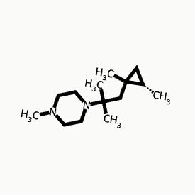 C[C@H]1CC1(C)CC(C)(C)N1CCN(C)CC1